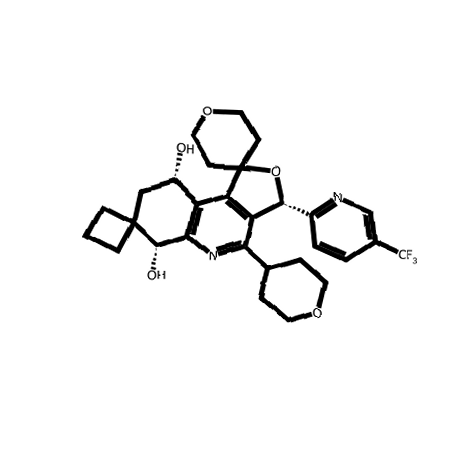 O[C@H]1CC2(CCC2)[C@@H](O)c2nc(C3CCOCC3)c3c(c21)C1(CCOCC1)O[C@@H]3c1ccc(C(F)(F)F)cn1